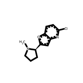 CN1CCC[C@@H]1c1cc2nc(Cl)ccc2o1